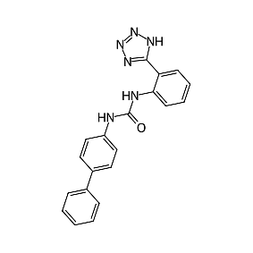 O=C(Nc1ccc(-c2ccccc2)cc1)Nc1ccccc1-c1nnn[nH]1